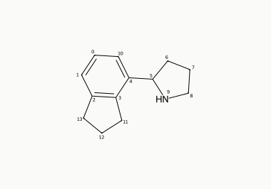 c1cc2c(c(C3CCCN3)c1)CCC2